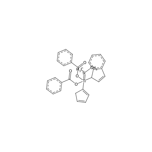 C[Si](C)=[Ti]([O]C(=O)c1ccccc1)([O]C(=O)c1ccccc1)([C]1=CC=CC1)[CH]1C=Cc2ccccc21